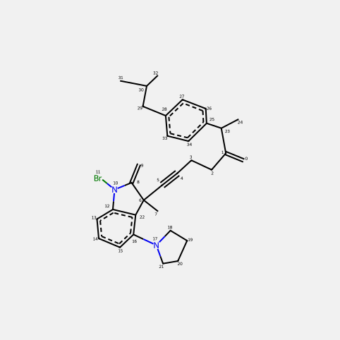 C=C(CCC#CC1(C)C(=C)N(Br)c2cccc(N3CCCC3)c21)C(C)c1ccc(CC(C)C)cc1